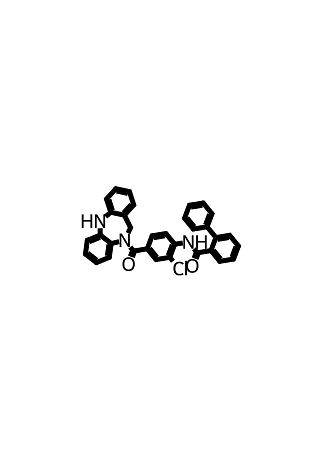 O=C(Nc1ccc(C(=O)N2Cc3ccccc3Nc3ccccc32)cc1Cl)c1ccccc1-c1ccccc1